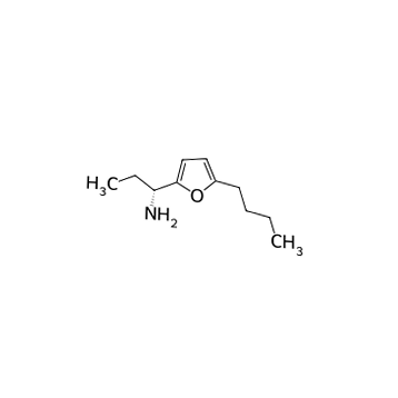 CCCCc1ccc([C@H](N)CC)o1